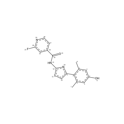 Cc1cc(O)cc(C)c1-c1csc(NC(=O)c2ccnc(F)c2)n1